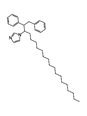 CCCCCCCCCCCCCCCCCC(C(Cc1ccccc1)c1ccccc1)n1ccnc1